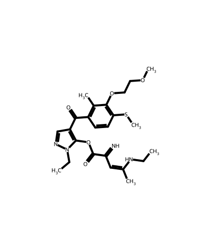 CCN/C(C)=C\C(=N)C(=O)Oc1c(C(=O)c2ccc(SC)c(OCCOC)c2C)cnn1CC